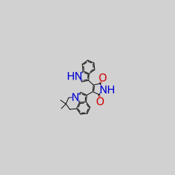 CC1(C)Cc2cccc3c(C4=C(c5c[nH]c6ccccc56)C(=O)NC4=O)cn(c23)C1